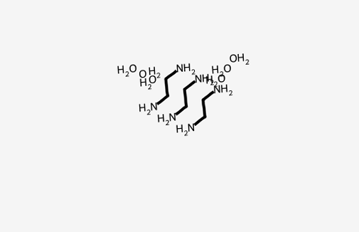 NCCN.NCCN.NCCN.O.O.O.O.O.O